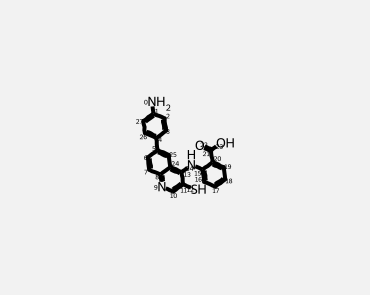 Nc1ccc(-c2ccc3ncc(S)c(Nc4ccccc4C(=O)O)c3c2)cc1